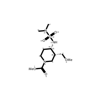 COC[C@@H]1CN(C(=O)OC)CC[C@@H]1NS(=O)(=O)N(C)C